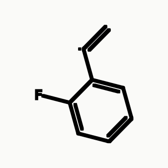 C=[C]c1ccccc1F